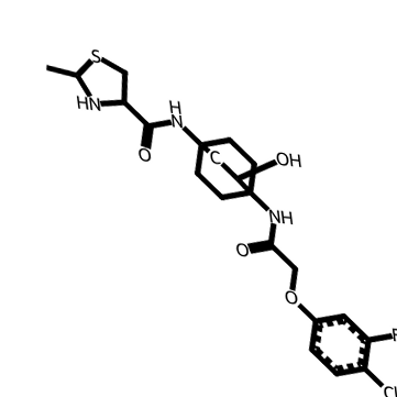 CC1NC(C(=O)NC23CCC(NC(=O)COc4ccc(Cl)c(F)c4)(CC2)C(O)C3)CS1